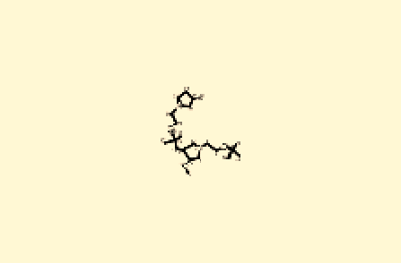 COC1CN(CCOC(C)(C)C)CC1CC(C)(C)OCCN1CCC(F)C1